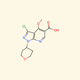 COc1c(C(=O)O)cnc2c1c(Cl)nn2C1CCOCC1